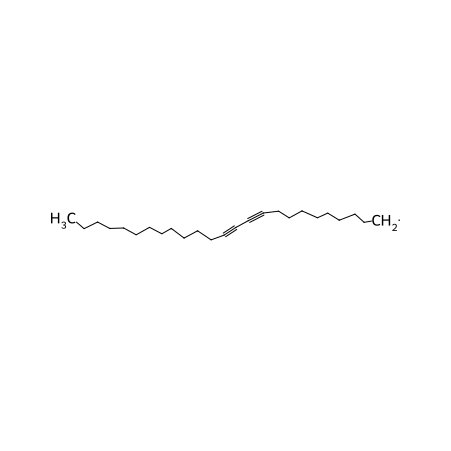 [CH2]CCCCCCCCC#CC#CCCCCCCCCCCCC